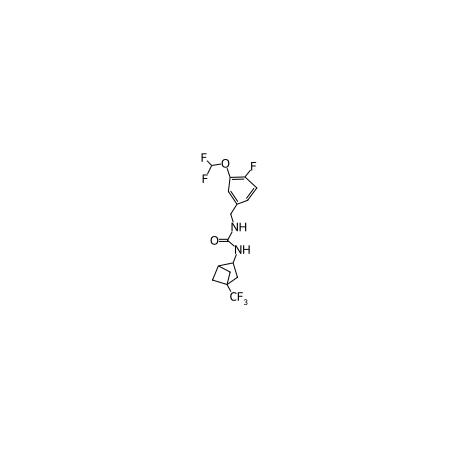 O=C(NCc1ccc(F)c(OC(F)F)c1)NC1CC2(C(F)(F)F)CC1C2